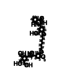 COc1ccc(-c2cc(-c3cc(CO)c(CO)c(CO)c3)no2)cc1OCCCCCCCOc1ccc(C2NC(=O)c3ccccc3N2)cc1CO